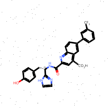 O=C(N[C@@H](Cc1ccc(O)cc1)c1ncc[nH]1)c1cc(C(=O)O)c2cc(-c3cccc(C(F)(F)F)c3)ccc2n1